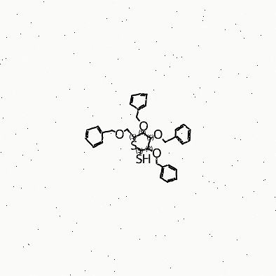 S[C@H]1S[C@@H](COCc2ccccc2)[C@@H](OCc2ccccc2)[C@H](OCc2ccccc2)[C@H]1OCc1ccccc1